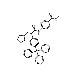 COC(=O)c1ccc(NC(=O)C(CC2CCCC2)c2ccc(C(c3ccccc3)(c3ccccc3)c3ccccc3)cc2)nc1